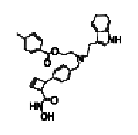 Cc1ccc(C(=O)OCCN(CCc2c[nH]c3ccccc23)Cc2ccc(C3C#CC3C(=O)NO)cc2)cc1